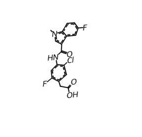 Cn1cc(C(=O)Nc2cc(F)c(CC(=O)O)cc2Cl)c2cc(F)ccc21